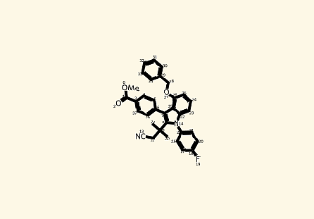 COC(=O)c1ccc(-c2c(C(C)(C)CC#N)n(-c3ccc(F)cc3)c3cccc(OCc4ccccc4)c23)cc1